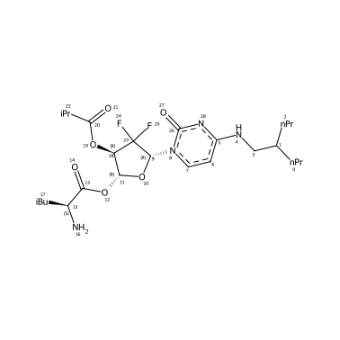 CCCC(CCC)CNc1ccn([C@@H]2O[C@H](OC(=O)[C@@H](N)C(C)CC)[C@@H](OC(=O)C(C)C)C2(F)F)c(=O)n1